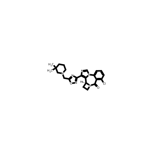 CC1(C)CCCN(Cc2nc(-c3ncn4c3[C@@H]3CCN3C(=O)c3c(Cl)cccc3-4)no2)C1